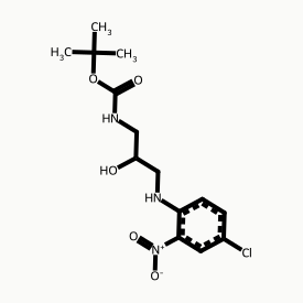 CC(C)(C)OC(=O)NCC(O)CNc1ccc(Cl)cc1[N+](=O)[O-]